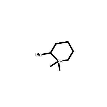 CC(C)(C)C1CCCC[PH]1(C)C